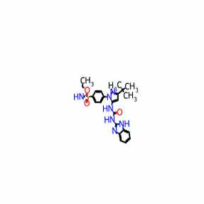 CCOS(=N)(=O)c1ccc(-n2nc(C(C)(C)C)cc2NC(=O)Nc2nc3ccccc3[nH]2)cc1